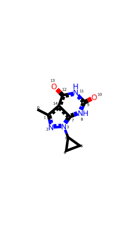 Cc1nn(C2CC2)c2[nH]c(=O)[nH]c(=O)c12